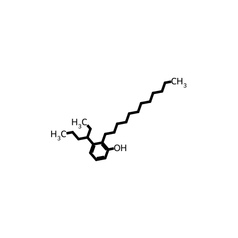 CCCCCCCCCCCCc1c(O)cccc1C(CC)CCC